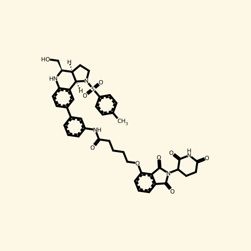 Cc1ccc(S(=O)(=O)N2CC[C@@H]3[C@H](CO)Nc4ccc(-c5cccc(NC(=O)CCCCOc6cccc7c6C(=O)N(C6CCC(=O)NC6=O)C7=O)c5)cc4[C@@H]32)cc1